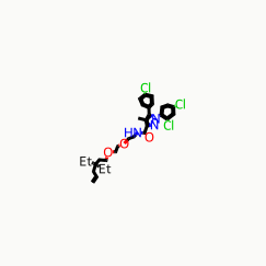 C=CCC(CC)(CC)CCOCCOCCNC(=O)c1nn(-c2ccc(Cl)cc2Cl)c(-c2ccc(Cl)cc2)c1C